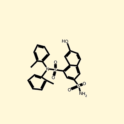 Cc1ccccc1N(c1ccccc1C)S(=O)(=O)c1cc(S(N)(=O)=O)cc2ccc(O)cc12